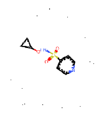 O=S(=O)(NOC1CC1)c1ccncc1